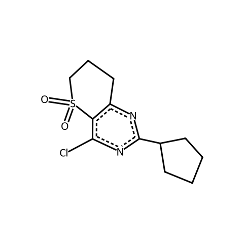 O=S1(=O)CCCc2nc(C3CCCC3)nc(Cl)c21